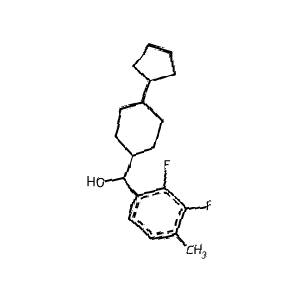 Cc1ccc(C(O)C2CCC(C3CCCC3)CC2)c(F)c1F